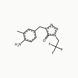 Cc1cc(Cn2nnn(CC(F)(F)F)c2=O)ccc1N